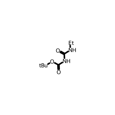 CCNC(=O)NC(=O)OC(C)(C)C